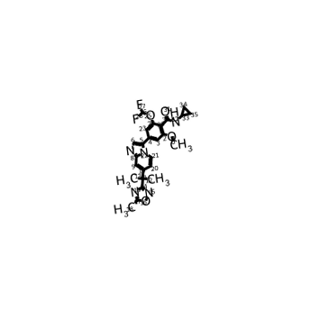 COc1cc(-c2cnc3cc(C(C)(C)c4noc(C)n4)ccn23)cc(OC(F)F)c1C(=O)NC1CC1